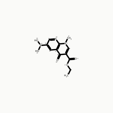 CCOC(=O)c1cn(C)c2ncc(B(O)O)cc2c1=O